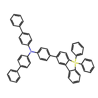 c1ccc(-c2ccc(N(c3ccc(-c4ccccc4)cc3)c3ccc(-c4ccc5c(c4)-c4ccccc4S5(c4ccccc4)c4ccccc4)cc3)cc2)cc1